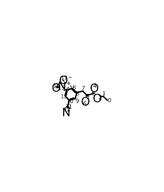 CCOC(=O)C(=O)Cc1cc(C#N)cc([N+](=O)[O-])c1